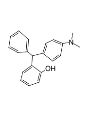 CN(C)c1ccc(C(c2ccccc2)c2ccccc2O)cc1